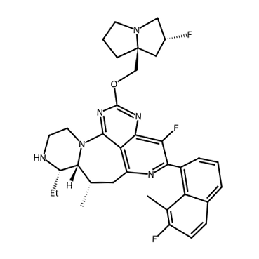 CC[C@@H]1NCCN2c3nc(OC[C@@]45CCCN4C[C@H](F)C5)nc4c(F)c(-c5cccc6ccc(F)c(C)c56)nc(c34)C[C@H](C)[C@H]12